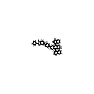 Cn1c(-c2ccccc2)nc2cc(-c3ccc(-c4ccc5c(-c6cccc7ccccc67)c6ccccc6c(-c6cccc7ccccc67)c5c4)cc3)ccc21